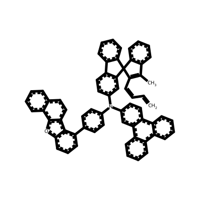 C=C/C=C\C1=C(C)c2ccccc2C12c1ccccc1-c1ccc(N(c3ccc(-c4cccc5oc6c7ccccc7ccc6c45)cc3)c3ccc4c5ccccc5c5ccccc5c4c3)cc12